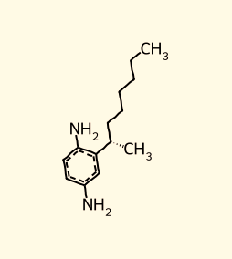 CCCCCC[C@H](C)c1cc(N)ccc1N